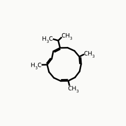 C/C1=C/CC/C(C)=C/C=C(/C(C)C)CC/C(C)=C\CC1